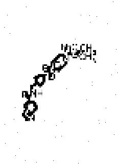 CC(C)(C)OC(=O)N1CC2CN(S(=O)(=O)c3ccc(CNC(=O)c4ccc5nccn5c4)cc3)CC(C1)O2